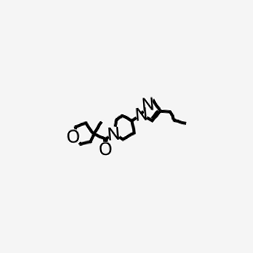 CCCc1cnn(C2CCN(C(=O)C3(C)CCOCC3)CC2)c1